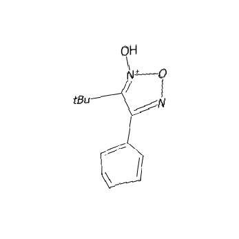 CC(C)(C)c1c(-c2ccccc2)no[n+]1O